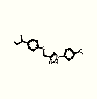 CCC(C)c1ccc(OCc2cn(-c3ccc(OC)cc3)nn2)cc1